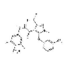 C[C@H](NC(=O)c1c(C(F)F)nn(C)c1Oc1cccc(C(F)(F)F)c1)c1cc(F)c(C(=O)O)c(F)c1